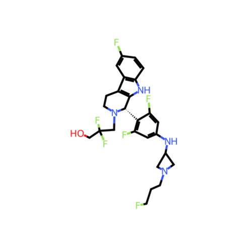 OCC(F)(F)CN1CCc2c([nH]c3ccc(F)cc23)[C@@H]1c1c(F)cc(NC2CN(CCCF)C2)cc1F